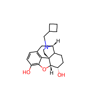 Oc1ccc2c3c1O[C@H]1[C@@H](O)CCC4[C@@H](C2)N(CC2CCC2)CC[C@@]341